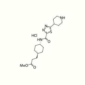 COC(=O)CC[C@H]1CC[C@H](NC(=O)c2nnc(C3CCNCC3)s2)CC1.Cl